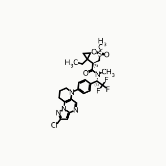 CCC1([C@@H](CS(C)(=O)=O)C(=O)N(C)[C@@H](c2ccc(N3CCCc4c3cnc3cc(Cl)nn43)cc2)C(F)(F)F)CC1